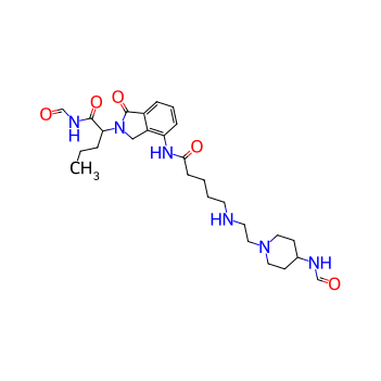 CCCC(C(=O)NC=O)N1Cc2c(NC(=O)CCCCNCCN3CCC(NC=O)CC3)cccc2C1=O